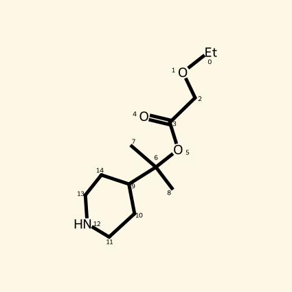 CCOCC(=O)OC(C)(C)C1CCNCC1